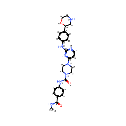 CNC(=O)c1ccc(NC(=O)N2CCN(c3ccnc(Nc4ccc(C5CNCCO5)cc4)n3)CC2)cc1